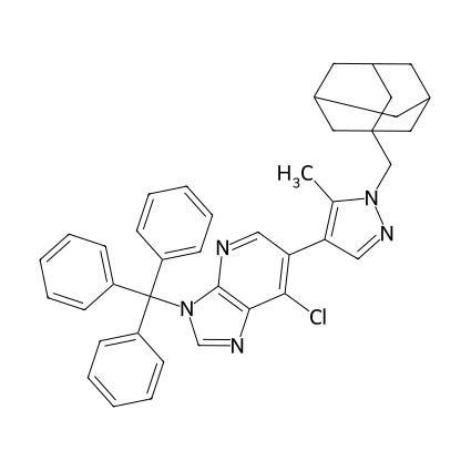 Cc1c(-c2cnc3c(ncn3C(c3ccccc3)(c3ccccc3)c3ccccc3)c2Cl)cnn1CC12CC3CC(CC(C3)C1)C2